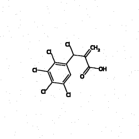 C=C(C(=O)O)C(Cl)c1cc(Cl)c(Cl)c(Cl)c1Cl